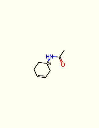 CC(=O)N[C@H]1CC=CCC1